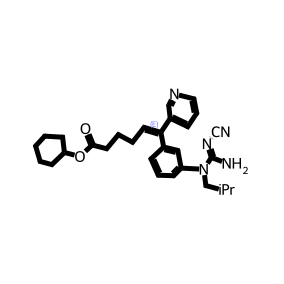 CC(C)CN(C(N)=NC#N)c1cccc(/C(=C\CCCC(=O)OC2CCCCC2)c2cccnc2)c1